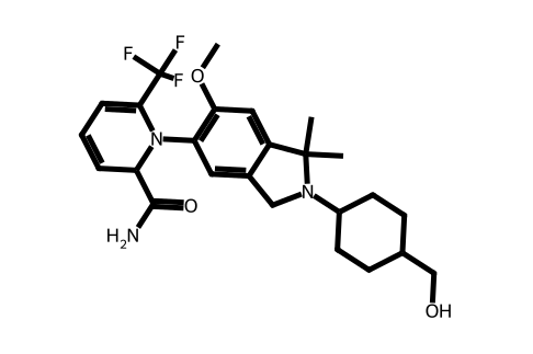 COc1cc2c(cc1N1C(C(F)(F)F)=CC=CC1C(N)=O)CN(C1CCC(CO)CC1)C2(C)C